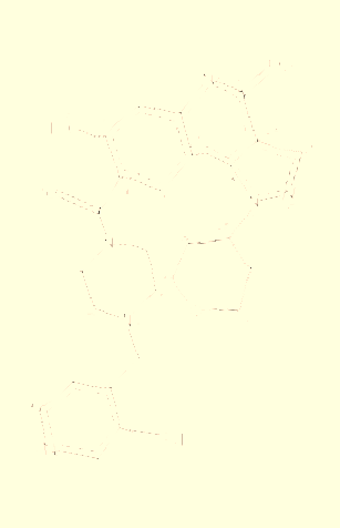 Cc1cnccc1CN1CCN(C(=O)c2cc3c(cc2C)[nH]c(=O)c2cnn(C4CCOCC4)c23)CC1